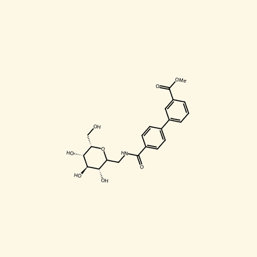 COC(=O)c1cccc(-c2ccc(C(=O)NCC3O[C@@H](CO)[C@@H](O)[C@H](O)[C@H]3O)cc2)c1